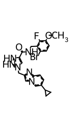 COc1ccc(Br)c(CNC(=O)C2=CN(Cc3cn4cc(C5CC5)ccc4n3)NN2)c1F